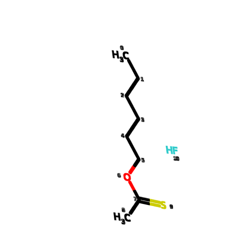 CCCCCCOC(C)=S.F